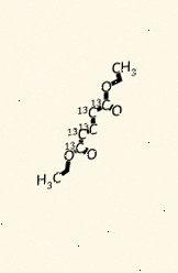 CCO[13C](=O)[13CH2][13CH2][13CH2][13C](=O)OCC